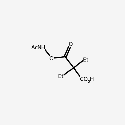 CCC(CC)(C(=O)O)C(=O)ONC(C)=O